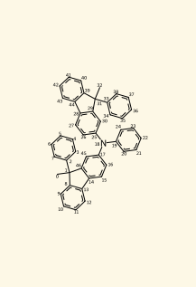 CC1(c2ccccc2)c2ccccc2-c2ccc(N(c3ccccc3)c3ccc4c(c3)C(C)(c3ccccc3)c3ccccc3-4)cc21